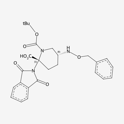 CC(C)(C)OC(=O)N1C[C@H](NOCc2ccccc2)CC[C@]1(C(=O)O)N1C(=O)c2ccccc2C1=O